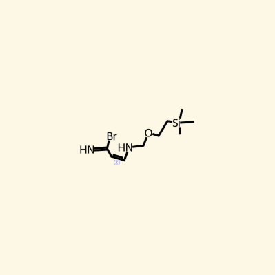 C[Si](C)(C)CCOCN/C=C\C(=N)Br